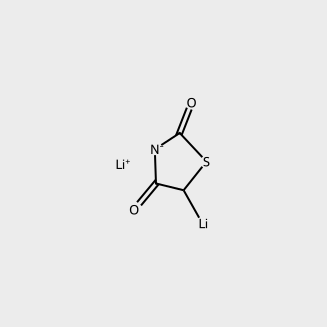 [Li+].[Li][CH]1SC(=O)[N-]C1=O